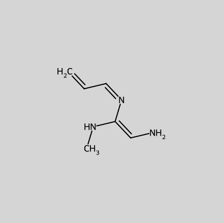 C=C/C=N\C(=C/N)NC